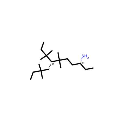 CC[C@@H](N)CCC(C)(C)[C@H](CC(C)(C)CC)C(C)(C)CC